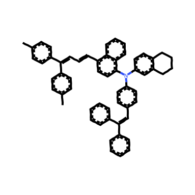 Cc1ccc(C(=C/C=C/c2ccc(N(c3ccc(C=C(c4ccccc4)c4ccccc4)cc3)c3ccc4c(c3)CCCC4)c3ccccc23)c2ccc(C)cc2)cc1